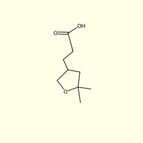 CC1(C)CC(CCC(=O)O)CO1